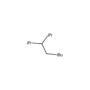 [CH2]C(CC)CC(C(C)C)C(C)C